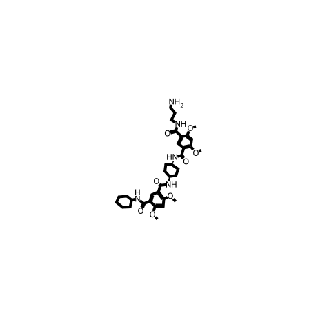 COc1cc(OC)c(C(=O)N[C@H]2CC[C@H](NC(=O)c3cc(C(=O)NC4CCCCC4)c(OC)cc3OC)CC2)cc1C(=O)NCCCN